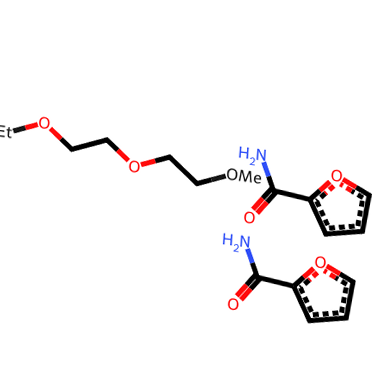 CCOCCOCCOC.NC(=O)c1ccco1.NC(=O)c1ccco1